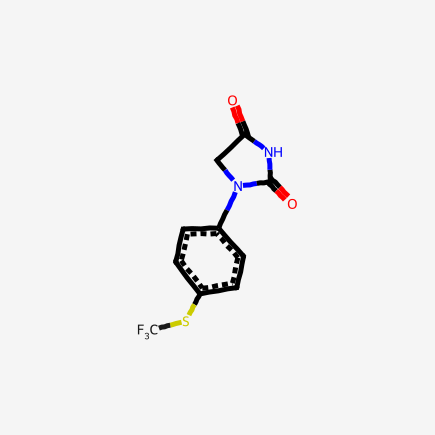 O=C1CN(c2ccc(SC(F)(F)F)cc2)C(=O)N1